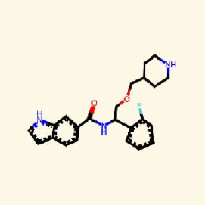 O=C(NC(COCC1CCNCC1)c1ccccc1F)c1ccc2cc[nH]c2c1